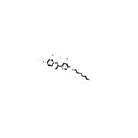 COc1cc(OC)c2c(=P)c(-c3ccc(OC/C=C(\C)CCC=C(C)C)c(OC)c3)coc2c1